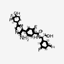 Nc1ncc(C2CCC(O)C(F)(F)C2)nc1-c1ccc(C(=O)N[C@H](CO)c2cc(F)cc(I)c2)c(F)c1